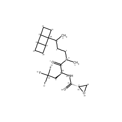 CC(CCN(C)C(=O)[C@H](CC(F)(F)F)NC(=O)[C@@H]1CO1)C12CCC1C1CCC12